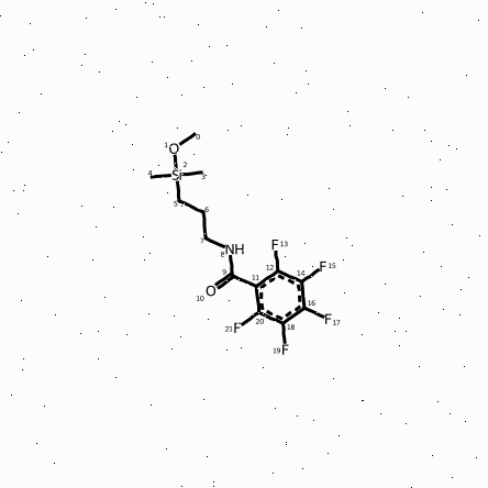 CO[Si](C)(C)CCCNC(=O)c1c(F)c(F)c(F)c(F)c1F